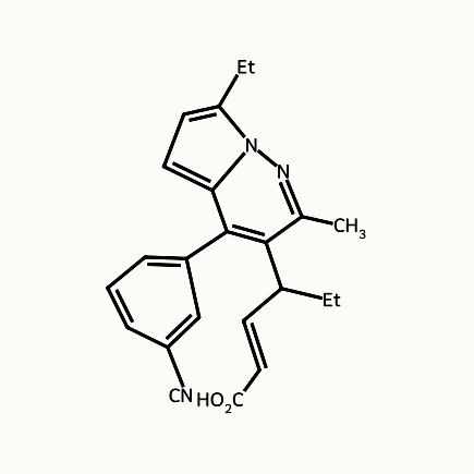 CCc1ccc2c(-c3cccc(C#N)c3)c(C(/C=C/C(=O)O)CC)c(C)nn12